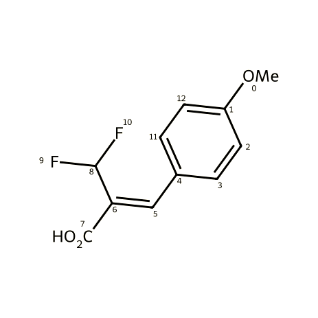 COc1ccc(C=C(C(=O)O)C(F)F)cc1